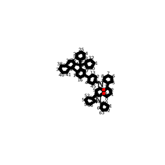 c1ccc(-c2ccccc2N(c2ccc(-c3ccc4c(c3)C(c3ccccc3)(c3ccccc3)c3ccc5ccccc5c3-4)cc2)c2ccc3c(c2)c2ccccc2n3-c2ccccc2)cc1